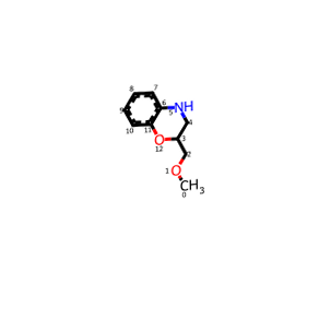 COCC1CNc2ccccc2O1